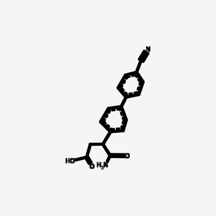 N#Cc1ccc(-c2ccc(C(CC(=O)O)C(N)=O)cc2)cc1